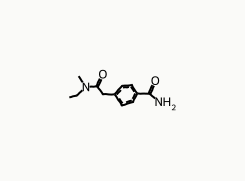 CCN(C)C(=O)Cc1ccc(C(N)=O)cc1